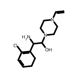 C=CN1CCN(C(O)C(N)C2=C(Cl)C=CCC2)CC1